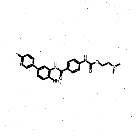 CN(C)CCOC(=O)Nc1ccc(C(=O)Nc2cc(-c3ccc(F)nc3)ccc2N)cc1